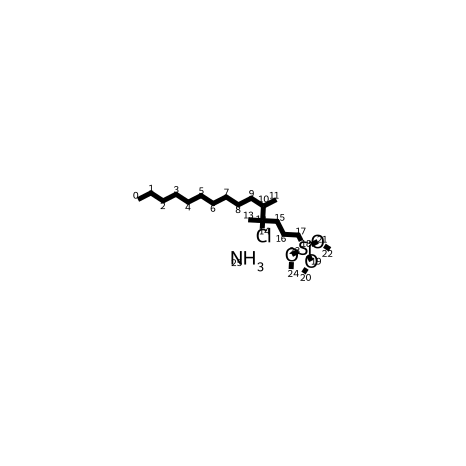 CCCCCCCCCCC(C)C(C)(Cl)CCC[Si](OC)(OC)OC.N